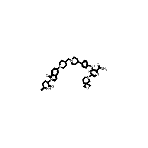 C=C1CCC(n2ccc3cc(N4CCC(CN5CCC(c6ccc(Nc7nc(N8CCCC9(COC9)C8)cnc7C(N)=O)cc6)CC5)CC4)ccc3c2=O)C(=O)N1